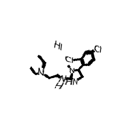 CCN(CC)CCNC1NCC(c2ccc(Cl)cc2Cl)N1C.I